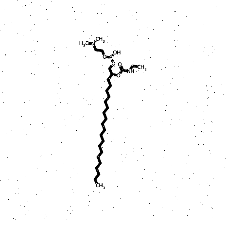 CCCCCCCCCCCCCCCCCCCCC(COP(O)OCCN(C)C)OC(=O)NCC